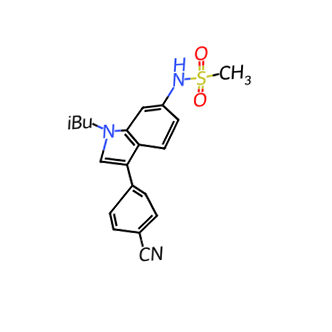 CCC(C)n1cc(-c2ccc(C#N)cc2)c2ccc(NS(C)(=O)=O)cc21